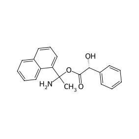 CC(N)(OC(=O)[C@H](O)c1ccccc1)c1cccc2ccccc12